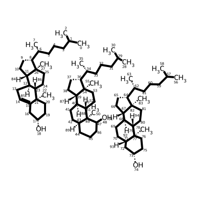 CC(C)CCC[C@@H](C)[C@H]1CC[C@H]2[C@@H]3CC=C4C[C@@H](O)CC[C@]4(C)[C@H]3CC[C@]12C.CC(C)CCC[C@@H](C)[C@H]1CC[C@H]2[C@@H]3CC[C@@H]4CCCC(O)[C@]4(C)[C@H]3CC[C@]12C.CC(C)CCC[C@@H](C)[C@H]1CC[C@H]2[C@@H]3CC[C@H]4C[C@@H](O)CC[C@]4(C)[C@H]3CC[C@]12C